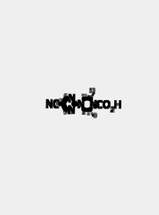 C[C@@H]1CN(c2ncc(C#N)cn2)C[C@H](C)N1C(=O)O